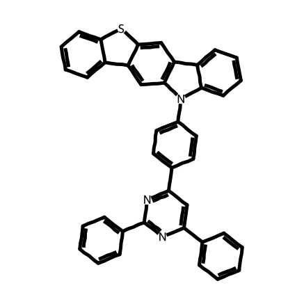 c1ccc(-c2cc(-c3ccc(-n4c5ccccc5c5cc6sc7ccccc7c6cc54)cc3)nc(-c3ccccc3)n2)cc1